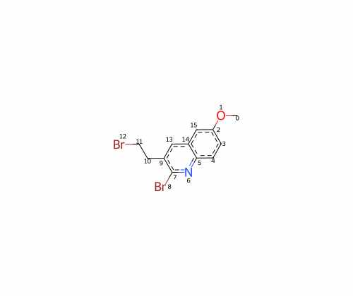 COc1ccc2nc(Br)c(CCBr)cc2c1